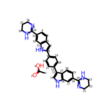 CC(=O)O.c1cc2cc(-c3ccc(-c4c[nH]c5cc(C6=NCCCN6)ccc45)cc3)[nH]c2cc1C1=NCCCN1